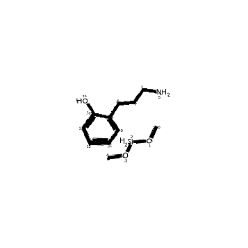 CO[SiH2]OC.NCCCc1ccccc1O